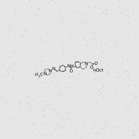 CCCCCCCCOC(=O)CN1CCc2cc(C(=O)Nc3ccc(C=NN4CCN(C)CC4)cc3)ccc2C1